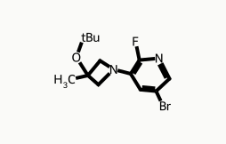 CC(C)(C)OC1(C)CN(c2cc(Br)cnc2F)C1